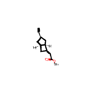 C#C[C@@H]1C[C@@H]2CC(=CC(=O)OC(C)(C)C)[C@@H]2C1